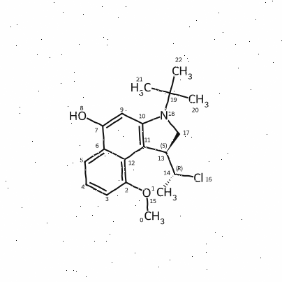 COc1cccc2c(O)cc3c(c12)[C@H]([C@@H](C)Cl)CN3C(C)(C)C